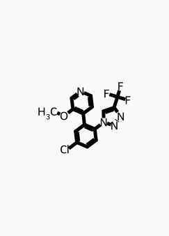 COc1cnccc1-c1cc(Cl)ccc1-n1cc(C(F)(F)F)nn1